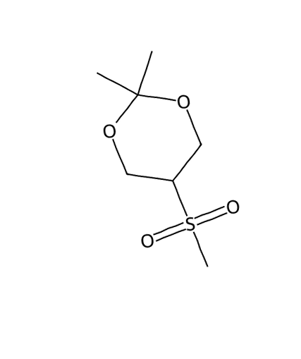 CC1(C)OCC(S(C)(=O)=O)CO1